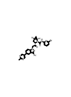 CC(=O)c1nn(CC(=O)[C@@H]2C[C@@H]3C[C@H]3N2C(=O)Nc2cccc(Br)n2)c2ccc(-c3cnc(C)nc3)cc12